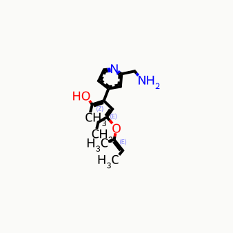 C/C=C(\C)O/C(=C/C(=C(\C)O)c1ccnc(CN)c1)CC